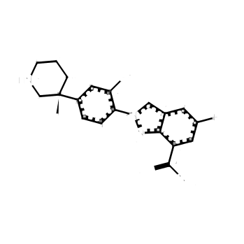 C[C@]1(c2ccc(-n3cc4cc(F)cc(C(N)=O)c4n3)c(F)c2)CCCNC1